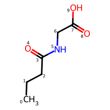 CCCC(=O)NCC(=O)O